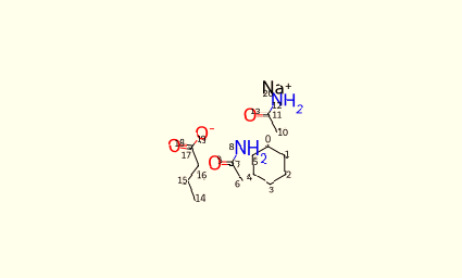 C1CCCCC1.CC(N)=O.CC(N)=O.CCCC(=O)[O-].[Na+]